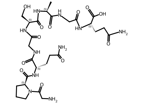 C[C@H](NC(=O)[C@H](CO)NC(=O)CNC(=O)[C@H](CCC(N)=O)NC(=O)[C@@H]1CCCN1C(=O)CN)C(=O)NCC(=O)N[C@@H](CCC(N)=O)C(=O)O